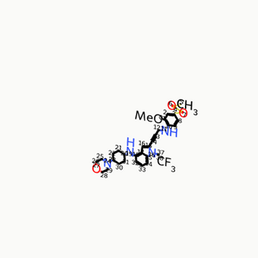 COc1cc(S(C)(=O)=O)ccc1NCC#Cc1cc2c(N[C@H]3CC[C@H](N4CCOCC4)CC3)cccc2n1CC(F)(F)F